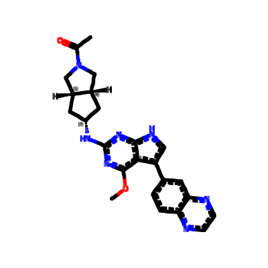 COc1nc(N[C@@H]2C[C@@H]3CN(C(C)=O)C[C@@H]3C2)nc2[nH]cc(-c3ccc4nccnc4c3)c12